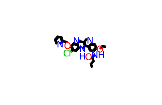 CCCC(=O)Nc1cc2c(Nc3ccc(OCc4ccccn4)c(Cl)c3)c(C#N)cnc2cc1OCC